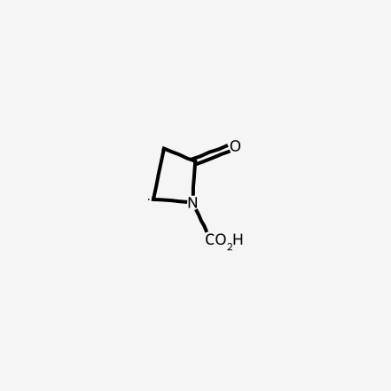 O=C(O)N1[CH]CC1=O